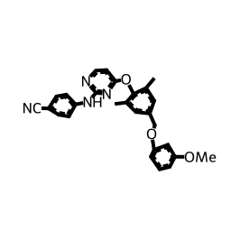 COc1cccc(OCc2cc(C)c(Oc3ccnc(Nc4ccc(C#N)cc4)n3)c(C)c2)c1